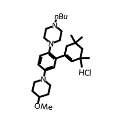 CCCCN1CCN(c2ccc(N3CCC(OC)CC3)cc2C2=CC(C)(C)CC(C)(C)C2)CC1.Cl